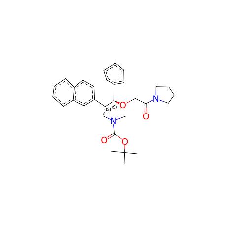 CN(C[C@H](c1ccc2ccccc2c1)[C@H](OCC(=O)N1CCCC1)c1ccccc1)C(=O)OC(C)(C)C